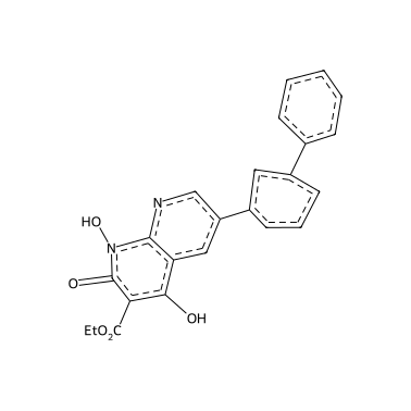 CCOC(=O)c1c(O)c2cc(-c3cccc(-c4ccccc4)c3)cnc2n(O)c1=O